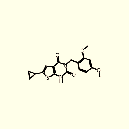 COc1ccc(Cn2c(=O)[nH]c3sc(C4CC4)cc3c2=O)c(OC)c1